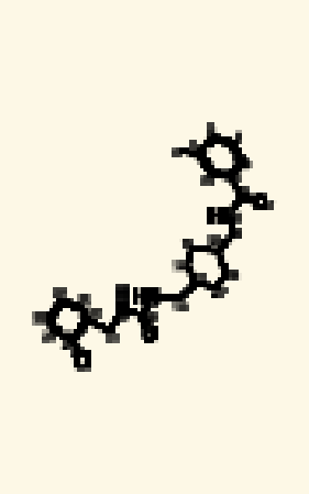 Cc1cccc(C(=O)NCC2CCC(CNC(=O)NCc3ccccc3Cl)CC2)c1